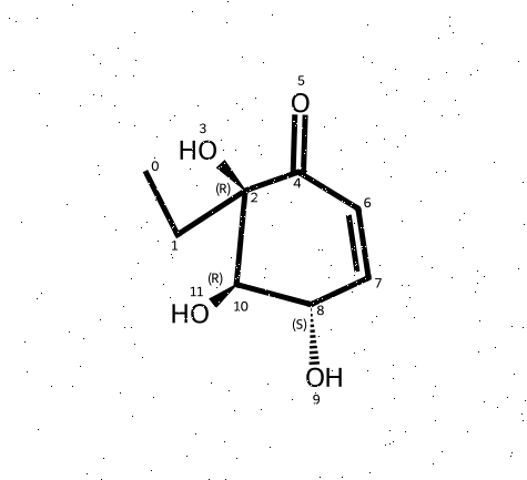 CC[C@]1(O)C(=O)C=C[C@H](O)[C@H]1O